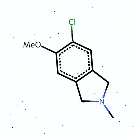 COc1cc2c(cc1Cl)CN(C)C2